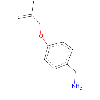 C=C(C)COc1ccc(CN)cc1